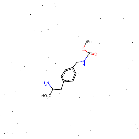 CC(C)(C)OC(=O)NCc1ccc(CC(N)C(=O)O)cc1